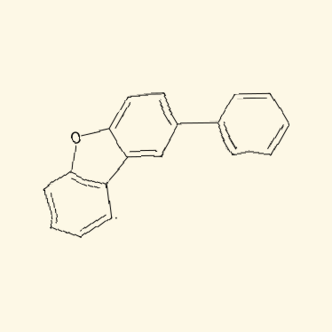 [c]1cccc2oc3ccc(-c4ccccc4)cc3c12